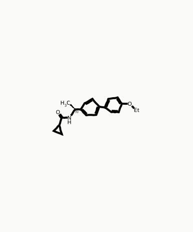 CCOc1ccc(-c2ccc([C@H](C)NC(=O)C3CC3)cc2)cc1